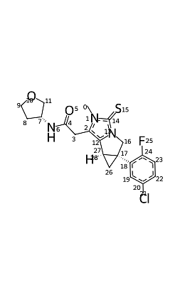 Cn1c(CC(=O)N[C@@H]2CCOC2)c2n(c1=S)C[C@@]1(c3cc(Cl)ccc3F)C[C@@H]21